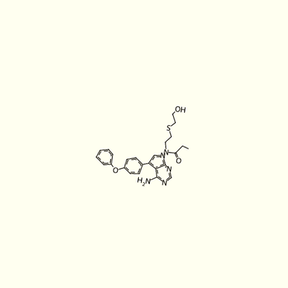 CCC(=O)N(CCSCCO)n1cc(-c2ccc(Oc3ccccc3)cc2)c2c(N)ncnc21